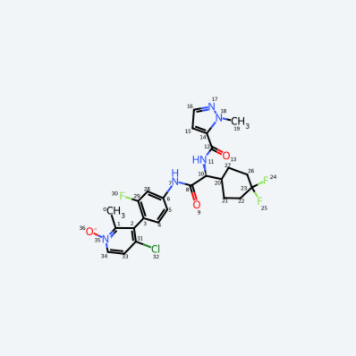 Cc1c(-c2ccc(NC(=O)[C@@H](NC(=O)c3ccnn3C)C3CCC(F)(F)CC3)cc2F)c(Cl)cc[n+]1[O-]